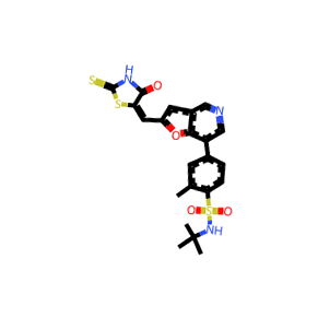 Cc1cc(-c2cncc3cc(/C=C4/SC(=S)NC4=O)oc23)ccc1S(=O)(=O)NC(C)(C)C